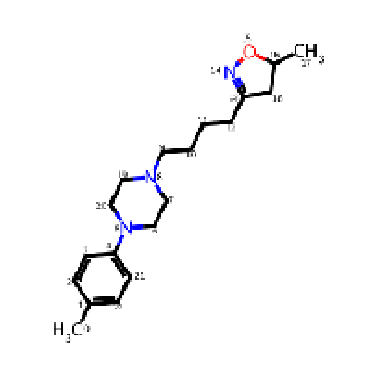 Cc1ccc(N2CCN(CCCCC3=NOC(C)C3)CC2)cc1